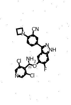 N#Cc1cc(-c2n[nH]c3cc(F)c(O[C@H](N)c4c(Cl)cncc4Cl)cc23)ccc1N1CCC1